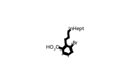 CCCCCCCCCCc1c(Br)cccc1C(=O)O